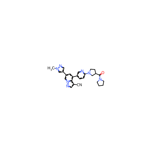 Cn1cc(-c2cc(-c3ccc(N4CCC(C(=O)N5CCCC5)C4)nc3)c3c(C#N)cnn3c2)cn1